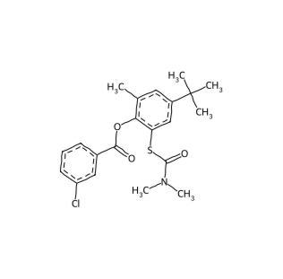 Cc1cc(C(C)(C)C)cc(SC(=O)N(C)C)c1OC(=O)c1cccc(Cl)c1